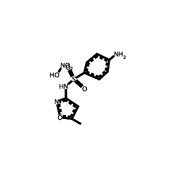 Cc1cc(NS(=O)(=O)c2ccc(N)cc2)no1.O=[N+]([O-])O